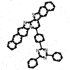 c1ccc(-c2nc(-c3ccccc3)nc(-c3ccc(-c4cc5c6cc7ccccc7cc6sc5c5nc6cc7cc8ccccc8cc7cc6n45)cc3)n2)cc1